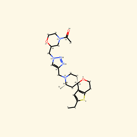 CCc1cc2c(s1)CCO[C@@]21CCN(Cc2cn(CC3CN(C(C)=O)CCO3)nn2)[C@@H](C)C1